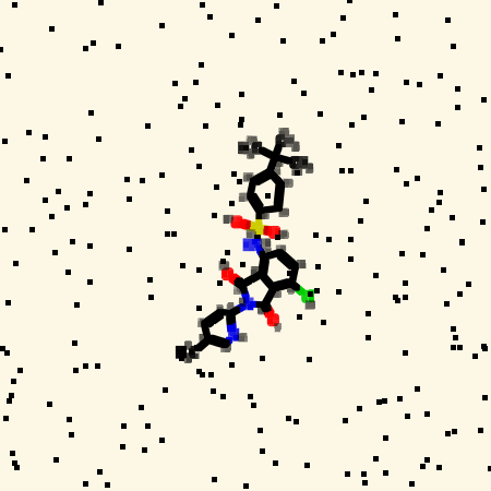 Cc1ccc(N2C(=O)c3c(Cl)ccc(NS(=O)(=O)c4ccc(C(C)(C)C)cc4)c3C2=O)nc1